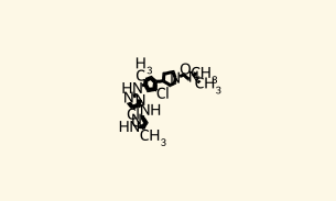 Cc1cc(Nc2nc(Nc3cc(Cl)c(C4CCN(C(=O)CN(C)C)CC4)cc3C)ncc2Cl)n[nH]1